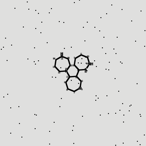 C1CCC(C2COCCCC2N2CCCNCC2)SNC1